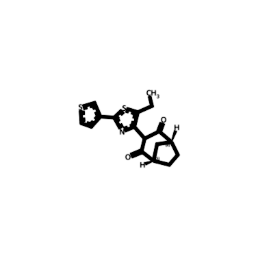 CCc1sc(-c2ccsc2)nc1C1C(=O)[C@@H]2CC[C@@H](C2)C1=O